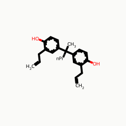 C=CCc1cc(C(C)(CCC)c2ccc(O)c(CC=C)c2)ccc1O